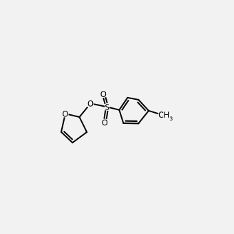 Cc1ccc(S(=O)(=O)OC2CC=CO2)cc1